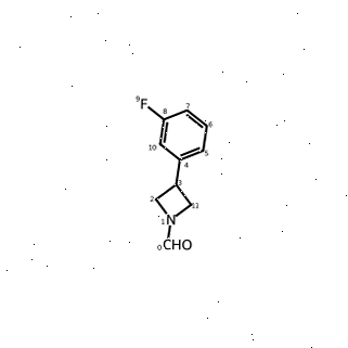 O=CN1CC(c2cccc(F)c2)C1